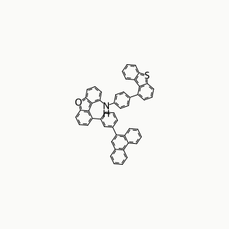 c1cc(-c2cc3ccccc3c3ccccc23)cc(-c2cccc3oc4cccc(Nc5ccc(-c6cccc7sc8ccccc8c67)cc5)c4c23)c1